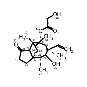 C=C[C@]1(C)C[C@@H](OC(=O)CO)[C@]2(C)C(C)CCC3(CCC(=O)C32)[C@@H](C)C1O